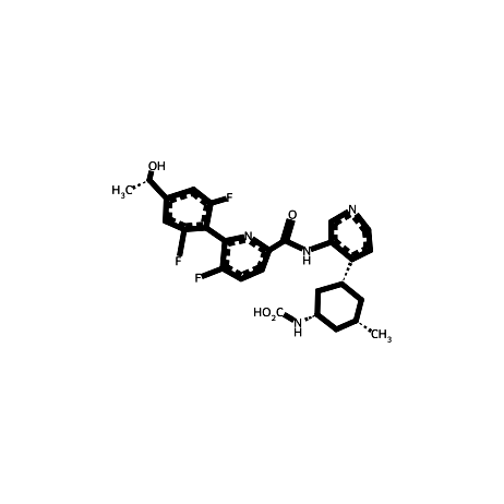 C[C@@H]1C[C@H](NC(=O)O)C[C@H](c2ccncc2NC(=O)c2ccc(F)c(-c3c(F)cc([C@H](C)O)cc3F)n2)C1